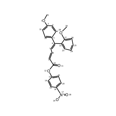 COc1ccc(C(=CC=CC(=O)Oc2ccc([N+](=O)[O-])cc2)c2ccccc2OC)cc1